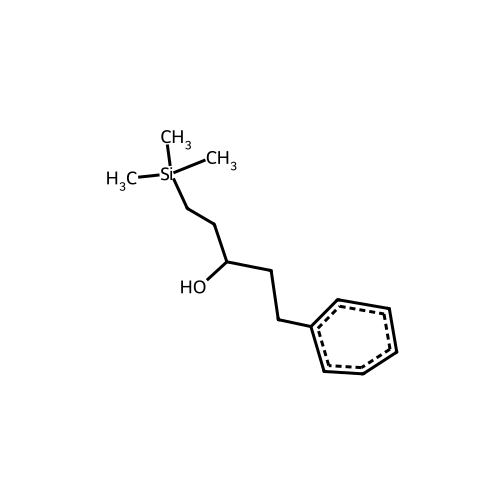 C[Si](C)(C)CCC(O)CCc1ccccc1